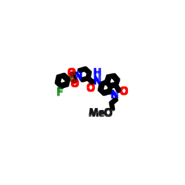 COCCCN1C(=O)c2cccc3c(NC(=O)C4CCCN(S(=O)(=O)c5cccc(F)c5)C4)ccc1c23